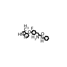 Cc1c[nH]c2nccc(Oc3ccc(C[C@@H](N)C(=O)Nc4ccccc4)cc3F)c12